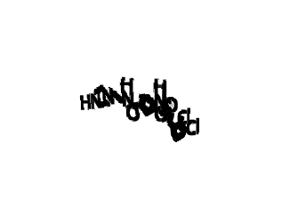 O=C(NCCN1CCNCC1)c1ccc(NS(=O)(=O)CCc2cccc(Cl)c2Cl)cc1